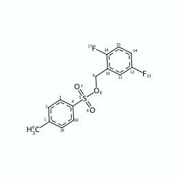 Cc1ccc(S(=O)(=O)OCc2cc(F)ccc2F)cc1